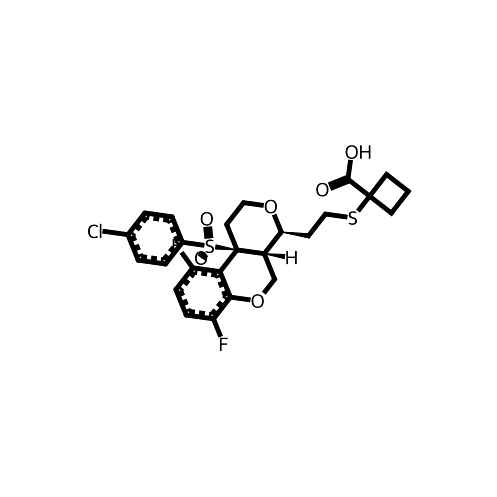 O=C(O)C1(SCC[C@@H]2OCC[C@@]3(S(=O)(=O)c4ccc(Cl)cc4)c4c(F)ccc(F)c4OC[C@@H]23)CCC1